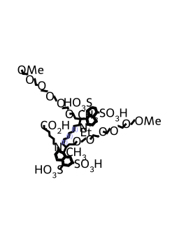 CC[N+]1=C(/C=C/C=C/C=C2/N(CCCCCC(=O)O)c3ccc4c(S(=O)(=O)O)cc(S(=O)(=O)O)cc4c3C2(C)CCOCCOCCOCCOCCOCCOC)C(C)(CCOCCOCCOCCOCCOCCOC)c2c1ccc1c(S(=O)(=O)O)cc(S(=O)(=O)O)cc21